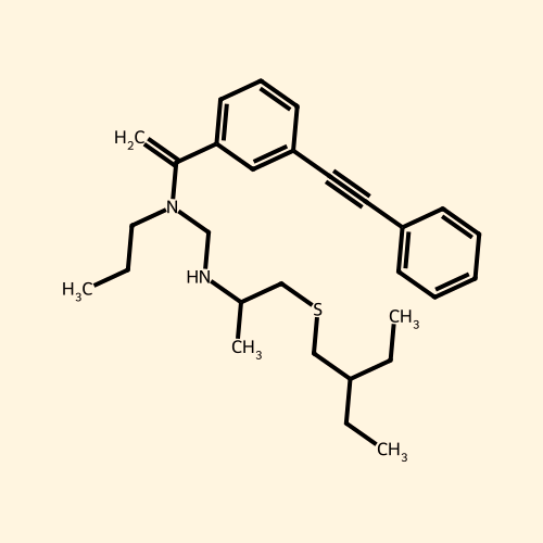 C=C(c1cccc(C#Cc2ccccc2)c1)N(CCC)CNC(C)CSCC(CC)CC